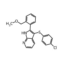 COCc1ccccc1-c1[nH]c2ncccc2c1Sc1ccc(Cl)cc1